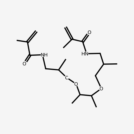 C=C(C)C(=O)NCC(C)COC(C)C(C)OCC(C)CNC(=O)C(=C)C